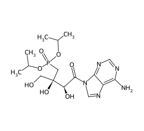 CC(C)OP(=O)(C[C@@](O)(CO)[C@H](O)C(=O)n1cnc2c(N)ncnc21)OC(C)C